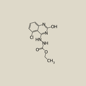 CCOC(=O)NNc1nc(O)nc2cccc(Cl)c12